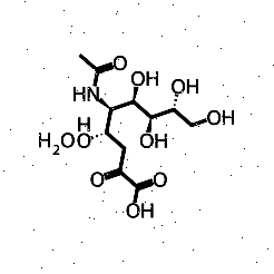 CC(=O)N[C@@H]([C@@H](O)[C@H](O)[C@H](O)CO)[C@@H](O)CC(=O)C(=O)O.O